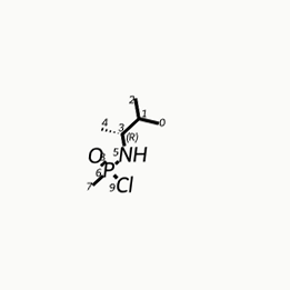 CC(C)[C@@H](C)NP(C)(=O)Cl